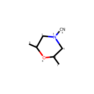 CC1CN(C#N)CC(C)O1